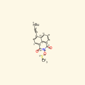 CCCCC#Cc1ccc2c3c(cccc13)C(=O)N(OSC(F)(F)F)C2=O